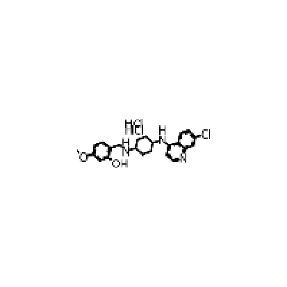 COc1ccc(CNC2CCC(Nc3ccnc4cc(Cl)ccc34)CC2)c(O)c1.Cl.Cl